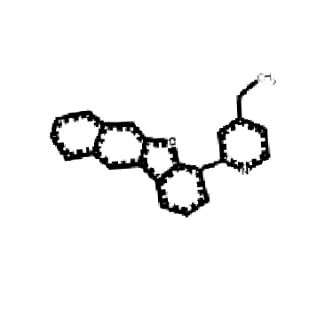 CCc1ccnc(-c2cccc3c2oc2cc4ccccc4cc23)c1